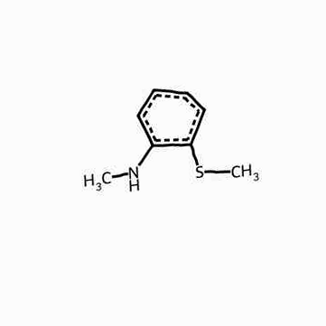 CNc1ccccc1SC